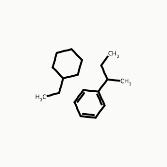 CCC(C)c1ccccc1.CCC1CCCCC1